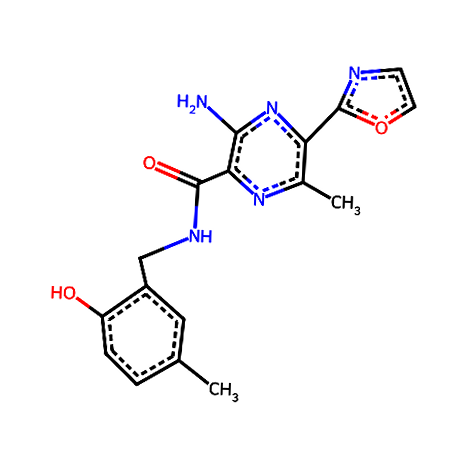 Cc1ccc(O)c(CNC(=O)c2nc(C)c(-c3ncco3)nc2N)c1